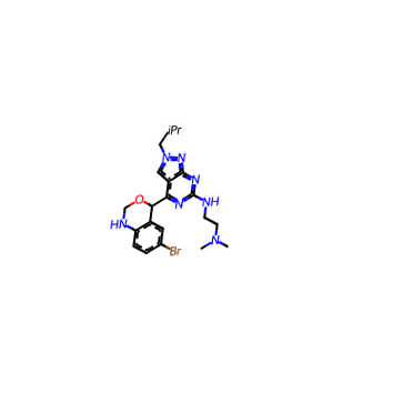 CC(C)Cn1cc2c(C3OCNc4ccc(Br)cc43)nc(NCCN(C)C)nc2n1